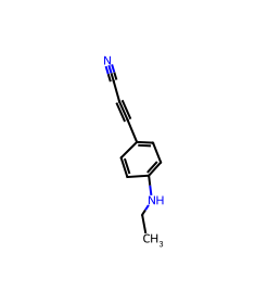 CCNc1ccc(C#CC#N)cc1